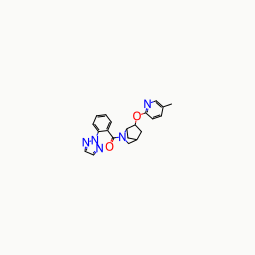 Cc1ccc(OC2CC3CC2N(C(=O)c2ccccc2-n2nccn2)C3)nc1